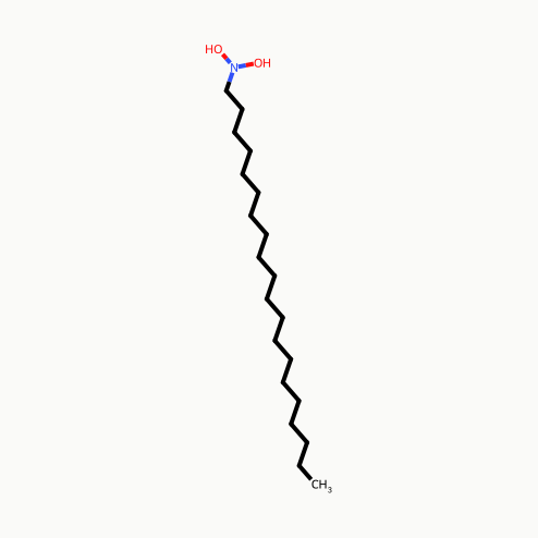 CCCCCCCCCCCCCCCCCCCCN(O)O